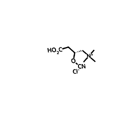 C[N+](C)(C)C[C@@H](CC(=O)O)OC#N.[Cl-]